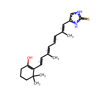 CC(/C=C/C1=C(O)CCCC1(C)C)=C\C=C\C(C)=C\c1c[nH]c(=S)[nH]1